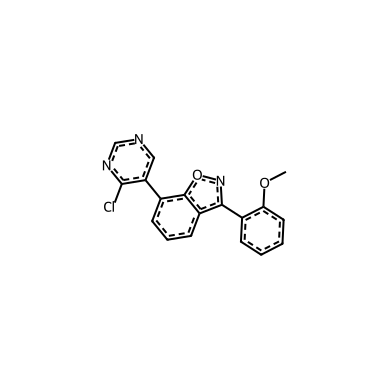 COc1ccccc1-c1noc2c(-c3cncnc3Cl)cccc12